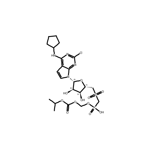 CC(C)OC(=O)OCOP(=O)(O)CS(=O)(=O)C[C@H]1O[C@@H](n2ccc3c(NC4CCCC4)nc(Cl)nc32)[C@H](O)[C@@H]1O